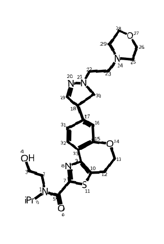 CC(C)N(CCO)C(=O)c1nc2c(s1)CCOc1cc(C3C=NN(CCN4CCOCC4)C3)ccc1-2